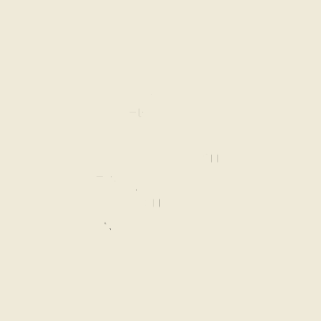 CBc1cc(C)cc(C(C)(C)C#N)c1